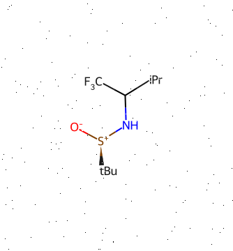 CC(C)C(N[S@+]([O-])C(C)(C)C)C(F)(F)F